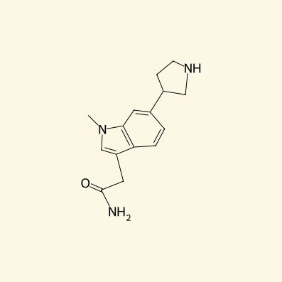 Cn1cc(CC(N)=O)c2ccc(C3CCNC3)cc21